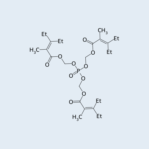 CCC(CC)=C(C)C(=O)OCOP(=O)(OCOC(=O)C(C)=C(CC)CC)OCOC(=O)C(C)=C(CC)CC